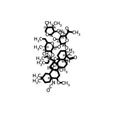 CCC1O[C@@H](OC2[C@H](O[C@H]3CCC4(C)C5CC=C6C7CC(C)(C)CC[C@]7(N=C=O)C(OC)C[C@@]6(C)[C@@]5(C)CC[C@H]4[C@@]3(C)C=O)OC(C(C)=O)[C@@H](C)[C@@H]2O[C@@H]2OC[C@@H](C)[C@@H](C)C2C)C(O[Si](CC)(CC)CC)[C@@H](C)[C@@H]1C